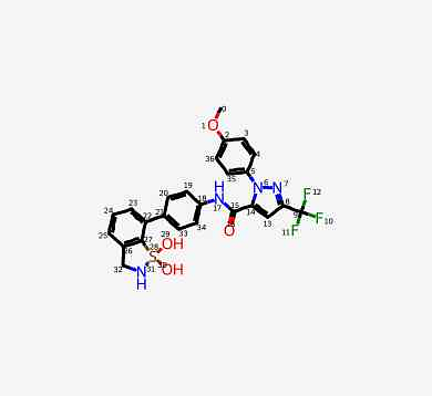 COc1ccc(-n2nc(C(F)(F)F)cc2C(=O)Nc2ccc(-c3cccc4c3S(O)(O)NC4)cc2)cc1